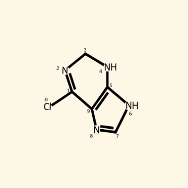 ClC1=NCNc2[nH]cnc21